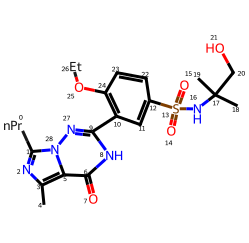 CCCc1nc(C)c2c(=O)[nH]c(-c3cc(S(=O)(=O)NC(C)(C)CO)ccc3OCC)nn12